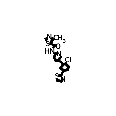 Cc1ncsc1C(=O)Nc1ccc(-c2cc(-c3nccs3)ccc2Cl)cn1